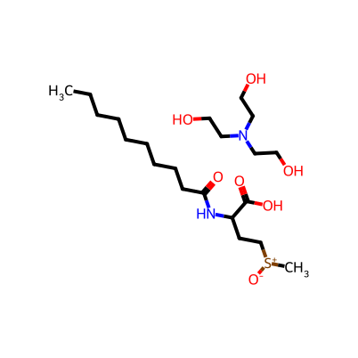 CCCCCCCCCC(=O)NC(CC[S+](C)[O-])C(=O)O.OCCN(CCO)CCO